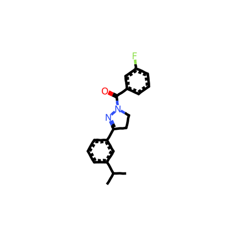 CC(C)c1cccc(C2=NN(C(=O)c3cccc(F)c3)CC2)c1